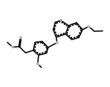 CCOc1ccc2c(Oc3ccc(CC(=O)OC)c(OC)c3)ccnc2c1